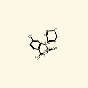 O=C(O)c1ccc(Cl)cc1N(C1=CCSC=C1)[SH](=O)=O